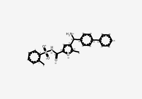 Cc1ccccc1S(=O)(=O)NC(=O)c1cc(C(N)c2ccc(-c3ccccc3)cc2)c(C)o1